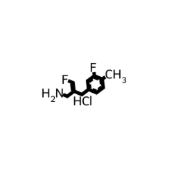 Cc1ccc(CC(=CF)CN)cc1F.Cl